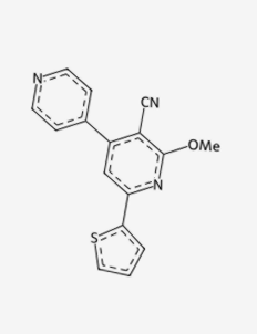 COc1nc(-c2cccs2)cc(-c2ccncc2)c1C#N